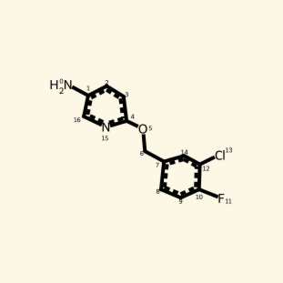 Nc1ccc(OCc2ccc(F)c(Cl)c2)nc1